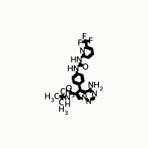 CC(C)(C)NC(=O)c1cn2ncnc(N)c2c1-c1ccc(NC(=O)Nc2cccc(C(F)(F)F)n2)cc1